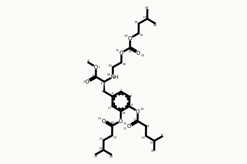 COC(=O)[C@H](Cc1ccc(OC(=O)CCC(C)C)c(OC(=O)CCC(C)C)c1)NCCOC(=O)OCCC(C)C